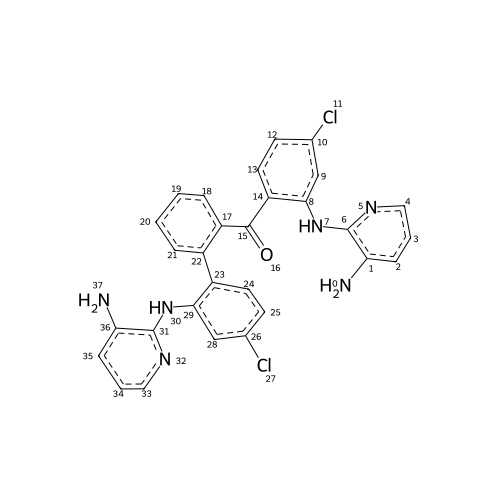 Nc1cccnc1Nc1cc(Cl)ccc1C(=O)c1ccccc1-c1ccc(Cl)cc1Nc1ncccc1N